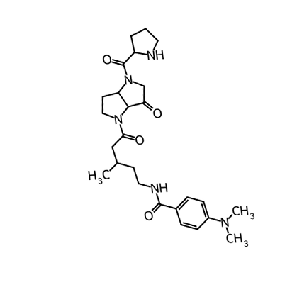 CC(CCNC(=O)c1ccc(N(C)C)cc1)CC(=O)N1CCC2C1C(=O)CN2C(=O)C1CCCN1